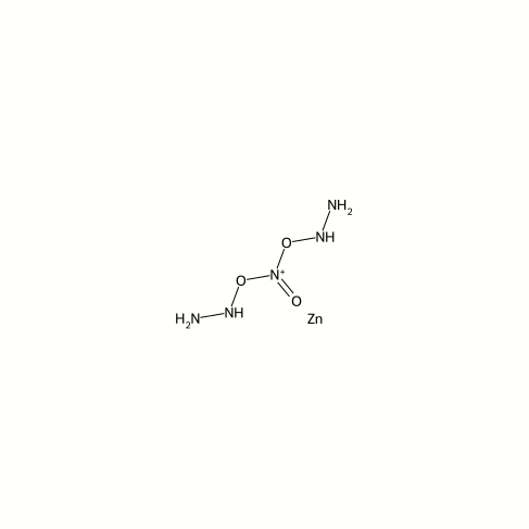 NNO[N+](=O)ONN.[Zn]